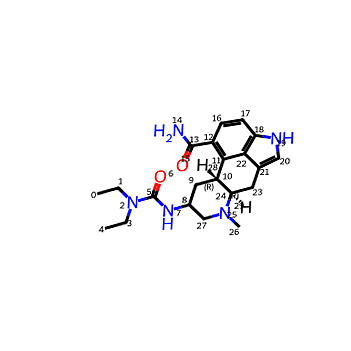 CCN(CC)C(=O)NC1C[C@@H]2c3c(C(N)=O)ccc4[nH]cc(c34)C[C@H]2N(C)C1